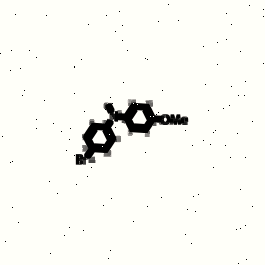 COc1ccc(N(C)c2ccc(Br)cc2)cc1